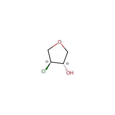 O[C@H]1COC[C@@H]1Cl